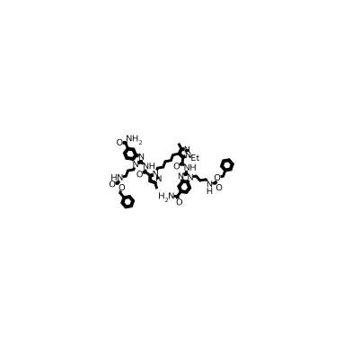 CCn1nc(C)c(CCCCCn2nc(C)cc2C(=O)Nc2nc3cc(C(N)=O)ccc3n2CCCNC(=O)OCc2ccccc2)c1C(=O)Nc1nc2cc(C(N)=O)ccc2n1CCCNC(=O)OCc1ccccc1